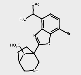 CC(=O)OC(c1ccc(Br)c2oc(C34CCC(CNC3)N4C(=O)O)nc12)C(F)(F)F